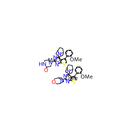 COc1ccccc1-c1csc2nc(N3C4CCC3COC4)nc(N3C4CCC3CC(OC)C4)c12.COc1ccccc1-c1csc2nc(N3CCNC(=O)C3)nc(N3C4CCC3CC(OC)C4)c12